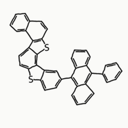 c1ccc(-c2c3ccccc3c(-c3ccc4sc5ccc6c(sc7ccc8ccccc8c76)c5c4c3)c3ccccc23)cc1